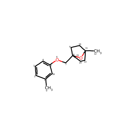 Cc1cccc(OCC23CCC(C)(CC2)O3)c1